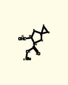 CC(C)(C)OC(=O)N1CC2(CC2)CC1C=O